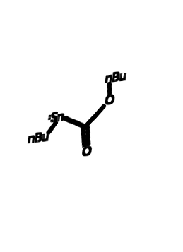 CCCCO[C](=O)[Sn][CH2]CCC